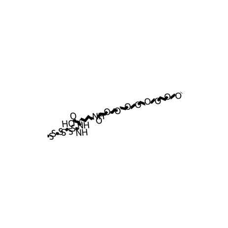 COCCOCCOCCOCCOCCOCCOCCOCCC(=O)NCCCC[C@H](NC(=N)SSCSSCSSC)C(=O)O